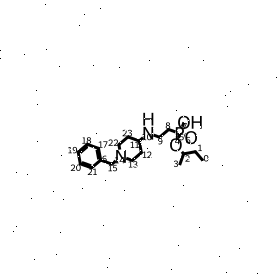 CCC(C)OP(=O)(O)CCNC1CCN(Cc2ccccc2)CC1